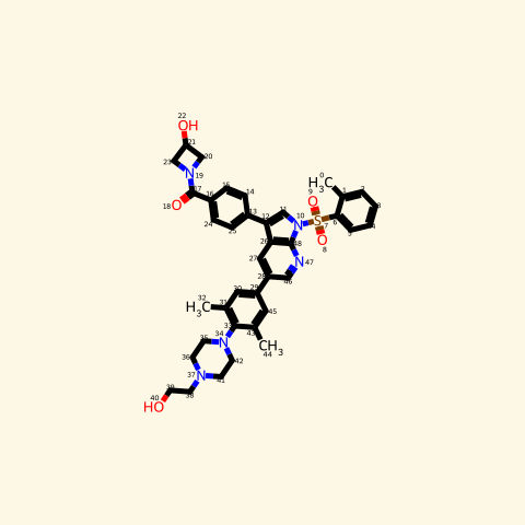 Cc1ccccc1S(=O)(=O)n1cc(-c2ccc(C(=O)N3CC(O)C3)cc2)c2cc(-c3cc(C)c(N4CCN(CCO)CC4)c(C)c3)cnc21